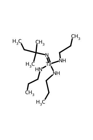 CCC[NH][Ta](=[N]C(C)(C)CC)([NH]CCC)[NH]CCC